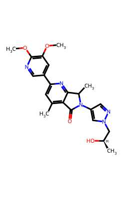 COc1cc(-c2cc(C)c3c(n2)C(C)N(c2cnn(C[C@@H](C)O)c2)C3=O)cnc1OC